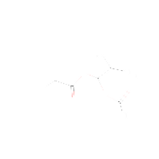 CCC(=O)OC(OC(C)=O)C(C)C